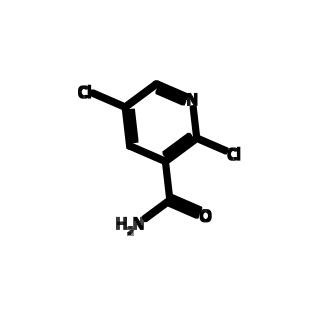 NC(=O)c1cc(Cl)cnc1Cl